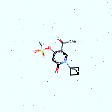 COC(=O)c1cn(C23CC(C2)C3)c(=O)cc1OS(=O)(=O)C(F)(F)F